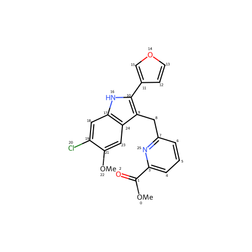 COC(=O)c1cccc(Cc2c(-c3ccoc3)[nH]c3cc(Cl)c(OC)cc23)n1